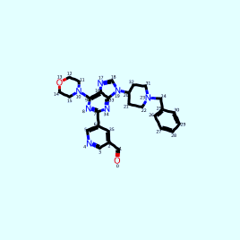 O=Cc1cncc(-c2nc(N3CCOCC3)c3ncn(C4CCN(Cc5ccccc5)CC4)c3n2)c1